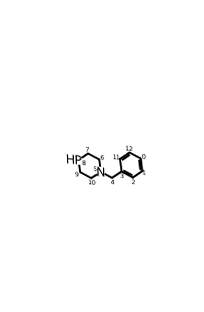 c1ccc(CN2CCPCC2)cc1